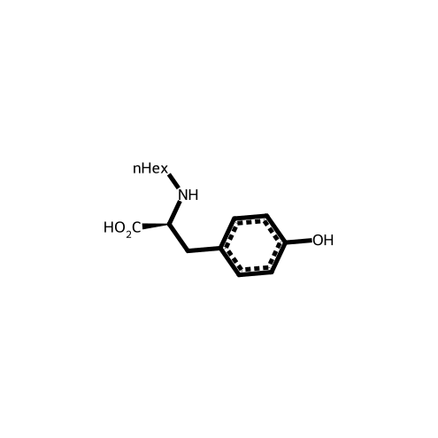 CCCCCCN[C@@H](Cc1ccc(O)cc1)C(=O)O